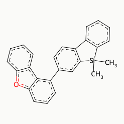 C[Si]1(C)c2ccccc2-c2ccc(-c3cccc4oc5ccccc5c34)cc21